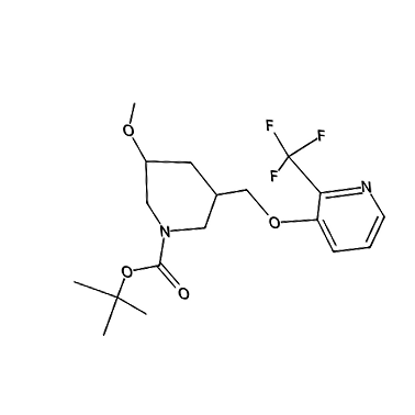 COC1CC(COc2cccnc2C(F)(F)F)CN(C(=O)OC(C)(C)C)C1